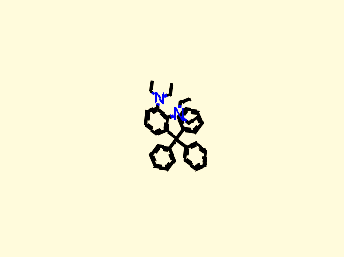 CCN(CC)c1cccc(C(c2ccccc2)(c2ccccc2)c2ccccc2)c1N(CC)CC